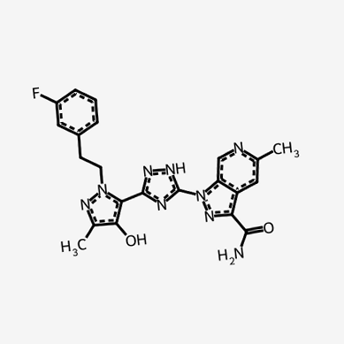 Cc1cc2c(C(N)=O)nn(-c3nc(-c4c(O)c(C)nn4CCc4cccc(F)c4)n[nH]3)c2cn1